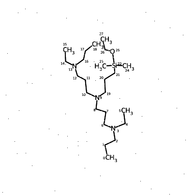 CCCN(CC)CCCN(CCCN(CC)CCC)CCC[Si](C)(C)OCC